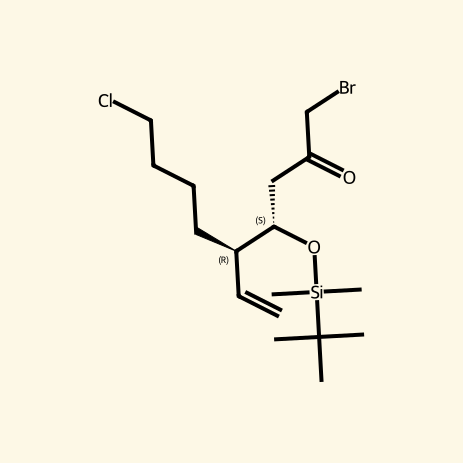 C=C[C@@H](CCCCCl)[C@H](CC(=O)CBr)O[Si](C)(C)C(C)(C)C